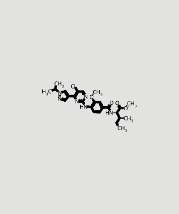 CC[C@H](C)[C@H](NC(=O)c1ccc(Nc2ncc(Cl)c(-c3cnn(C(C)C)c3)n2)c(OC)c1)C(=O)OC